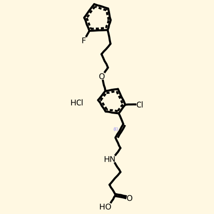 Cl.O=C(O)CCNC/C=C/c1ccc(OCCCc2ccccc2F)cc1Cl